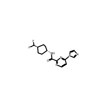 O=C(N[C@H]1CC[C@H](C(F)F)CC1)c1nccc(-n2ccnc2)n1